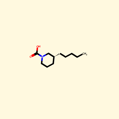 CCCCC[C@@H]1CCCN(C(=O)O)C1